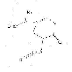 CC(C)(C)OC=O.[N-]=[N+]=NC1CNCCC1O